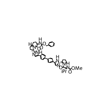 COC(=O)N[C@H](C(=O)N1CCC[C@H]1c1ncc(-c2ccc(-c3ccc(-c4cnc([C@@H]5CC[C@@H]6CC[C@H](NC(=O)OCc7ccccc7)C(=O)N65)[nH]4)cc3)cc2)[nH]1)C(C)C